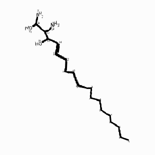 CCCCCCCCCCCCCC=CC(O)C(N)C(N)O